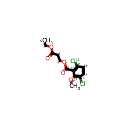 CCOC(=O)CCOC(=O)c1c(Cl)ccc(Cl)c1OC